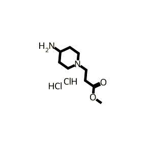 COC(=O)CCN1CCC(N)CC1.Cl.Cl